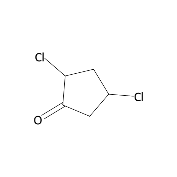 O=C1CC(Cl)CC1Cl